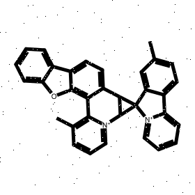 Cc1ccc2c(c1)C1(C3c4ccc5c(oc6ccccc65)c4-c4c(C)ccc[n+]4C31)[n+]1ccccc1-2